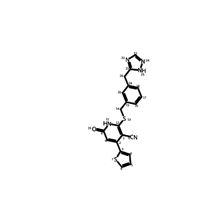 N#Cc1c(-c2cccs2)cc(=O)[nH]c1SCc1cccc(Cc2ncn[nH]2)c1